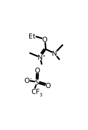 CCOC(N(C)C)=[N+](C)C.O=S(=O)([O-])C(F)(F)F